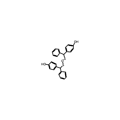 Oc1ccc(C(SOSC(c2ccccc2)c2ccc(O)cc2)c2ccccc2)cc1